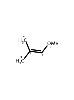 [CH2]OC=C(C)C